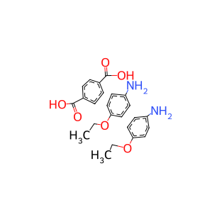 CCOc1ccc(N)cc1.CCOc1ccc(N)cc1.O=C(O)c1ccc(C(=O)O)cc1